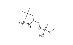 COP(=O)(O)OCC(CC(C)(C)C)NN